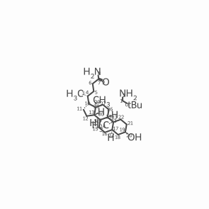 CC(C)(C)CN.C[C@H](CCC(N)=O)[C@H]1CC[C@H]2[C@@H]3CC[C@@H]4C[C@H](O)CC[C@]4(C)[C@H]3CC[C@]12C